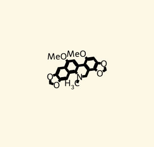 COc1cc2c(c3c1-c1cc(OC)c4cc5c(cc4c1N(C)C3)OCO5)OCO2